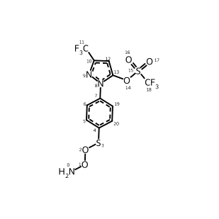 NOOSc1ccc(-n2nc(C(F)(F)F)cc2OS(=O)(=O)C(F)(F)F)cc1